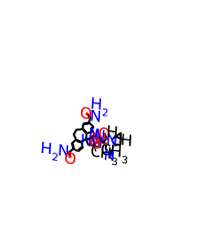 CCc1nnc(C2(C[C@H](C)NCC(=O)N3[C@H](C#N)C[C@@H]4C[C@@H]43)c3ccc(C(N)=O)cc3CCc3cc(C(N)=O)ccc32)o1